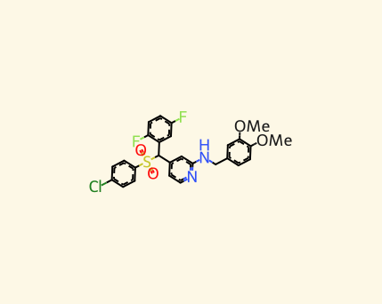 COc1ccc(CNc2cc(C(c3cc(F)ccc3F)S(=O)(=O)c3ccc(Cl)cc3)ccn2)cc1OC